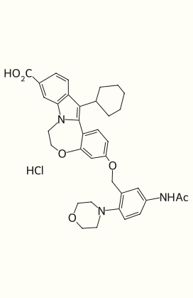 CC(=O)Nc1ccc(N2CCOCC2)c(COc2ccc3c(c2)OCCn2c-3c(C3CCCCC3)c3ccc(C(=O)O)cc32)c1.Cl